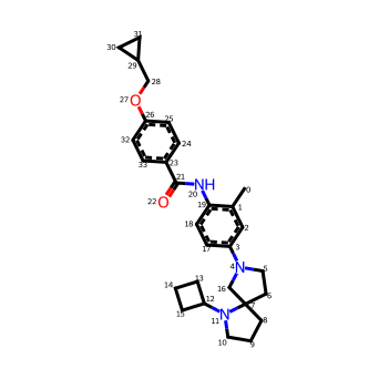 Cc1cc(N2CCC3(CCCN3C3CCC3)C2)ccc1NC(=O)c1ccc(OCC2CC2)cc1